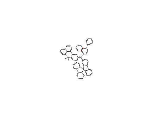 CC1(C)c2ccc(N(c3ccc(-c4ccccc4)cc3)c3ccc4c(c3)C3(c5ccccc5-c5ccccc53)c3ccccc3-4)cc2-c2c(-c3ccccc3)ccc3cccc1c23